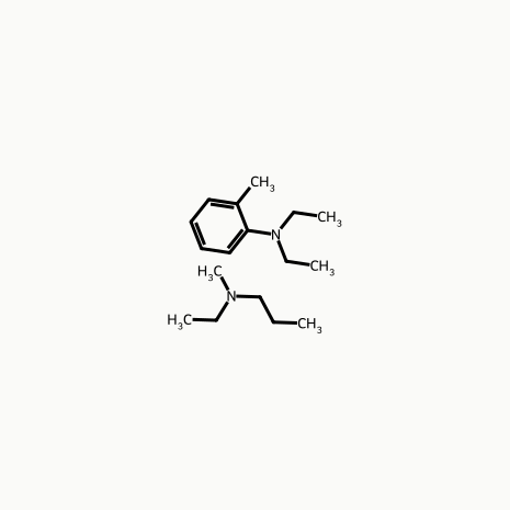 CCCN(C)CC.CCN(CC)c1ccccc1C